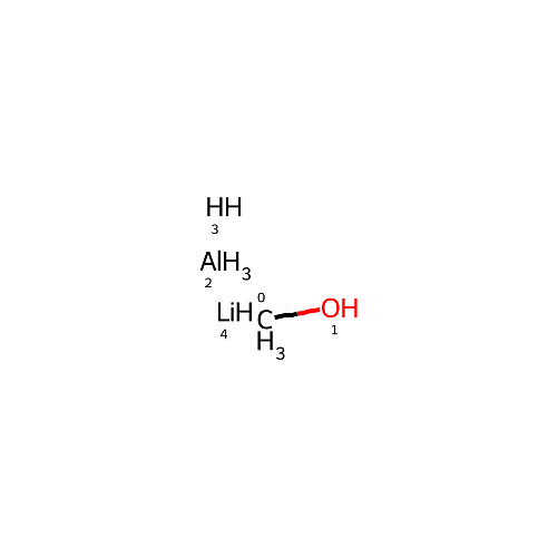 CO.[AlH3].[HH].[LiH]